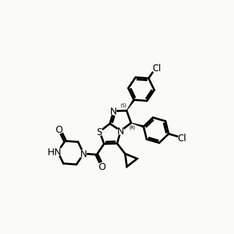 O=C1CN(C(=O)C2=C(C3CC3)N3C(=N[C@@H](c4ccc(Cl)cc4)[C@H]3c3ccc(Cl)cc3)S2)CCN1